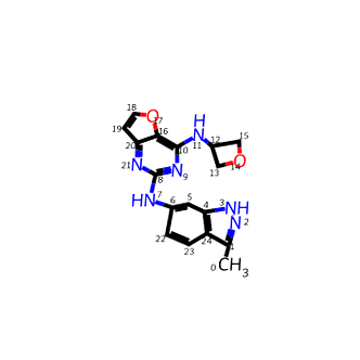 Cc1n[nH]c2cc(Nc3nc(NC4COC4)c4occc4n3)ccc12